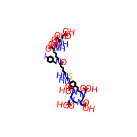 O=C(O)CC[C@H](NC(=O)N[C@@H](CCCCN(Cc1ccc(I)cc1)C(=O)CCCCNC(=S)Nc1ccc(CC2CN(CC(=O)O)CCN(CC(=O)O)CCN(CC(=O)O)CCN2CC(=O)O)cc1)C(=O)O)C(=O)O